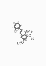 CCOc1cc(C=Cc2[c]cccc2Br)c(OC)c(OCC)c1